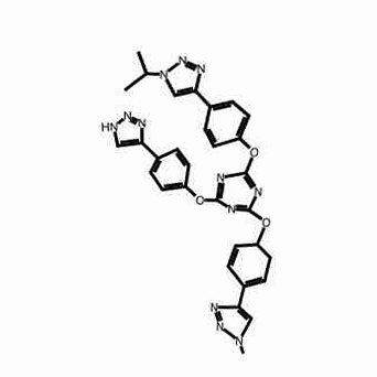 CC(C)n1cc(-c2ccc(Oc3nc(Oc4ccc(-c5c[nH]nn5)cc4)nc(OC4C=CC(c5cn(C)nn5)=CC4)n3)cc2)nn1